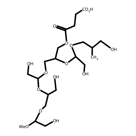 COC(CO)OCC(CO)OC(CO)OCC(COC(=O)CCC(=O)O)OC(CO)OCC(C)CO